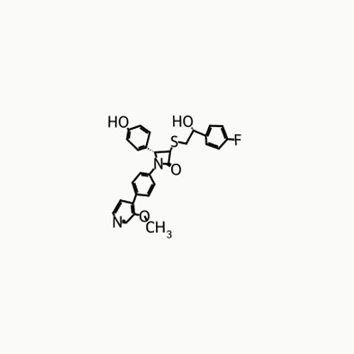 COc1cnccc1-c1ccc(N2C(=O)[C@H](SC[C@H](O)c3ccc(F)cc3)[C@H]2c2ccc(O)cc2)cc1